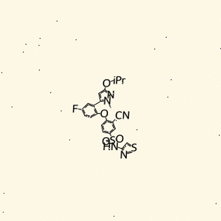 CC(C)Oc1cc(-c2cc(F)ccc2Oc2ccc(S(=O)(=O)Nc3cscn3)cc2C#N)n(C)n1